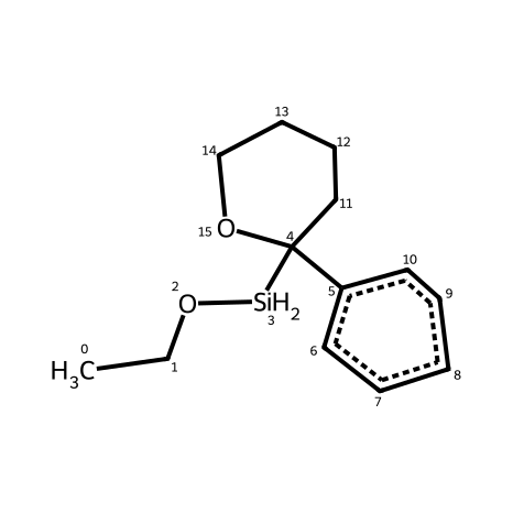 CCO[SiH2]C1(c2ccccc2)CCCCO1